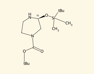 CC(C)(C)OC(=O)N1CCN[C@@H](O[Si](C)(C)C(C)(C)C)C1